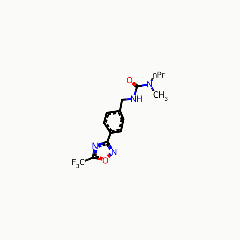 CCCN(C)C(=O)NCc1ccc(-c2noc(C(F)(F)F)n2)cc1